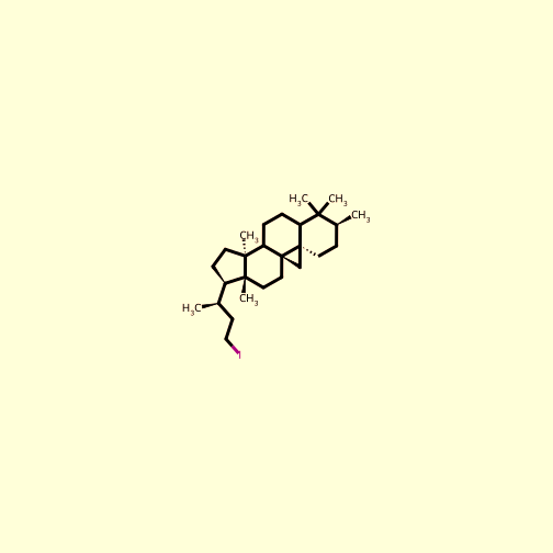 C[C@H](CCI)[C@H]1CC[C@@]2(C)C3CCC4C(C)(C)[C@@H](C)CC[C@@]45C[C@@]35CC[C@]12C